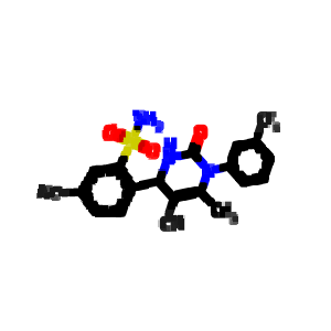 CC1=C(C#N)C(c2ccc(C#N)cc2S(N)(=O)=O)NC(=O)N1c1cccc(C(F)(F)F)c1